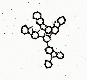 c1ccc(-n2c3ccccc3c3cc(-c4nc(-c5ccc6c(c5)oc5ccccc56)nc(-c5ccc6c(oc7ccccc76)c5-n5c6ccccc6c6cc7ccccc7cc65)n4)ccc32)cc1